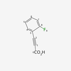 O=C(O)C#Cc1ccccc1F